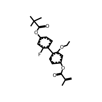 C=C(C)C(=O)Oc1ccc(-c2ccc(OC(=O)C(C)(C)C)cc2F)c(OCC)c1